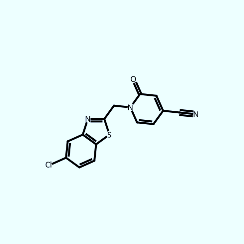 N#Cc1ccn(Cc2nc3cc(Cl)ccc3s2)c(=O)c1